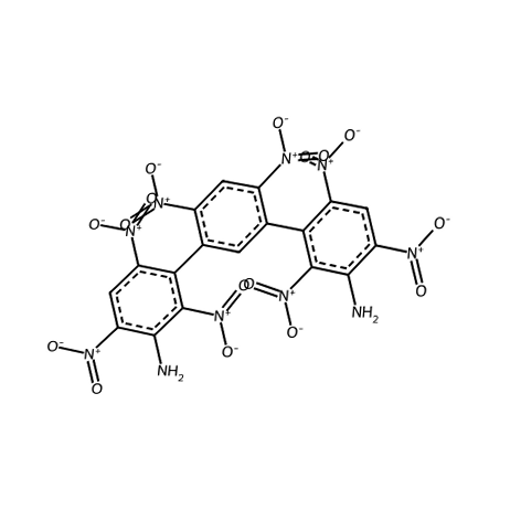 Nc1c([N+](=O)[O-])cc([N+](=O)[O-])c(-c2cc(-c3c([N+](=O)[O-])cc([N+](=O)[O-])c(N)c3[N+](=O)[O-])c([N+](=O)[O-])cc2[N+](=O)[O-])c1[N+](=O)[O-]